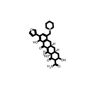 NC(=O)C1C(=O)[C@@]2(O)C(O)=C3C(=O)c4c(O)c(-c5ccoc5)cc(CN5CCCCC5)c4C[C@H]3C[C@H]2CC1O